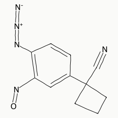 N#CC1(c2ccc(N=[N+]=[N-])c(N=O)c2)CCC1